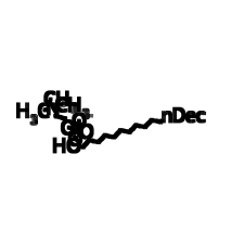 CCCCCCCCCCCCCCCCCCCC(CO)OP(=O)([O-])OCC[N+](C)(C)C